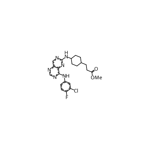 COC(=O)CCC1CCC(Nc2ncc3ncnc(Nc4ccc(F)c(Cl)c4)c3n2)CC1